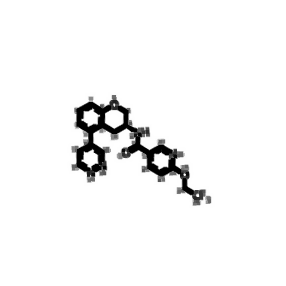 O=C(N[C@@H]1COc2cccc(-c3ccnnc3)c2C1)c1ccc(OCC(F)(F)F)nc1